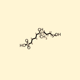 C[N+](C)(CCCCS(=O)(=O)O)CCCSO